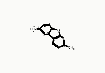 Cc1ccc2c(n1)OC1C=CC(N)=CC21